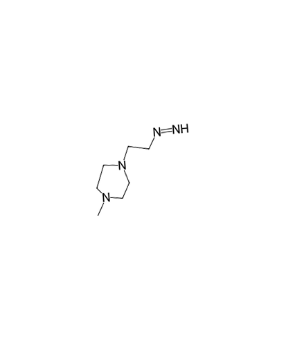 CN1CCN(CCN=N)CC1